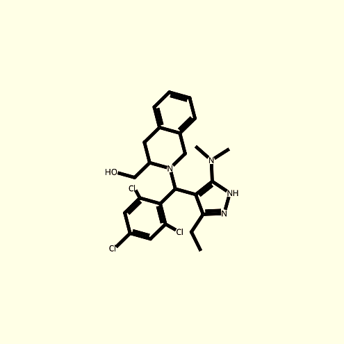 CCc1n[nH]c(N(C)C)c1C(c1c(Cl)cc(Cl)cc1Cl)N1Cc2ccccc2CC1CO